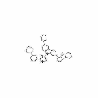 C1=CCC(C2C=CC=C(c3ncnc(N4C5=C(CC(C6=CCCC=C6)C=C5)C5=CCC(c6cccc7c6SC6C=CCCC76)CC54)n3)C2)C=C1